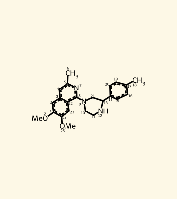 COc1cc2cc(C)nc(N3CCNC(c4ccc(C)cc4)C3)c2cc1OC